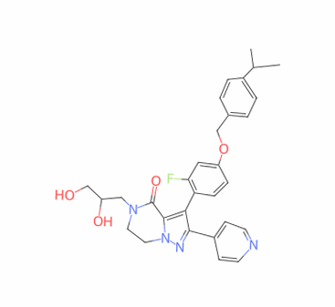 CC(C)c1ccc(COc2ccc(-c3c(-c4ccncc4)nn4c3C(=O)N(CC(O)CO)CC4)c(F)c2)cc1